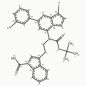 CC(C)(C)OC(=O)N(CCc1cn(C(=O)O)c2ccccc12)c1cc(-c2cncc(F)c2)nc2c(I)cnn12